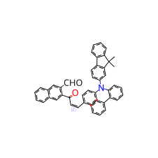 CC1(C)c2ccccc2-c2ccc(N(c3ccc(/C=C\C(=O)c4cc5ccccc5cc4C=O)cc3)c3ccccc3-c3ccccc3)cc21